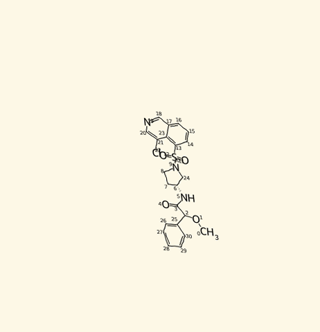 COC(C(=O)N[C@@H]1CCN(S(=O)(=O)c2cccc3cncc(Cl)c23)C1)c1ccccc1